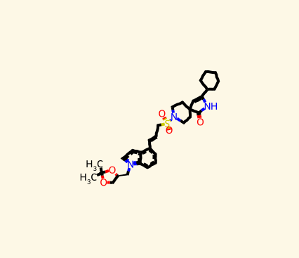 CC1(C)OC[C@H](Cn2ccc3c(/C=C/CS(=O)(=O)N4CCC5(C=C(C6CCCCC6)NC5=O)CC4)cccc32)O1